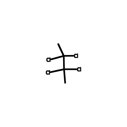 CC(Cl)(Cl)C(C)(Cl)Cl